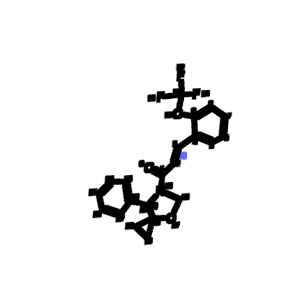 O=C(/C=C/c1ccccc1OC(F)(F)F)N1COC2(CC2)[C@H]1c1ccccc1